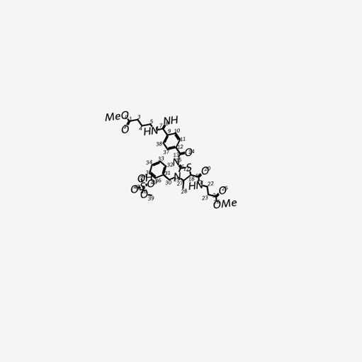 COC(=O)CCCNC(=N)c1ccc(C(=O)N=C2SC(C(=O)NCCC(=O)OC)C(C)N2Cc2ccccc2)cc1.COS(=O)(=O)O